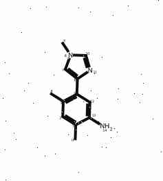 Cc1cc(C)c(-c2cn(C)cn2)cc1N